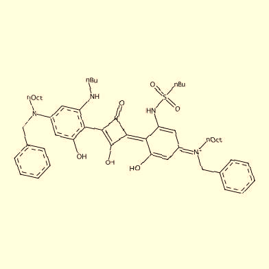 CCCCCCCCN(Cc1ccccc1)c1cc(O)c(C2=C(O)/C(=C3C(O)=C/C(=[N+](/CCCCCCCC)Cc4ccccc4)C=C\3NS(=O)(=O)CCCC)C2=O)c(NCCCC)c1